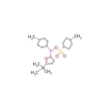 Cc1ccc([I+](OS(=O)(=O)c2ccc(C)cc2)c2ccc([Si](C)(C)C)o2)cc1